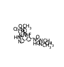 C[C@H]1CC[C@@H](Nc2n[nH]c3nccc(-c4ccc(CNC(=O)c5nc(C(C)(C)C)no5)c(F)c4)c23)CN1C(=O)C1(C)COC1